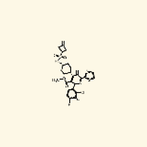 COC(=O)C1=C([C@H]2CC[C@H](NS(=O)(=O)C3CNC3)CC2)NC(c2nccs2)=NC1c1ccc(F)c(F)c1Cl